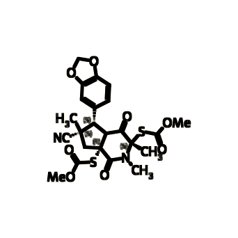 COC(=O)S[C@]12C[C@](C)(C#N)[C@H](c3ccc4c(c3)OCO4)C1C(=O)[C@](C)(SC(=O)OC)N(C)C2=O